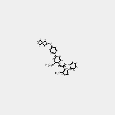 COc1nc(-c2ccc(CN3CC4(COC4)C3)nc2)ccc1NC(=O)c1c(-c2ccccc2)noc1C